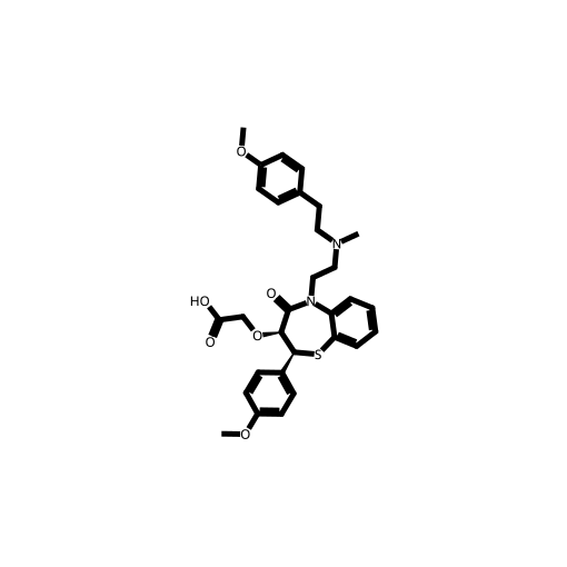 COc1ccc(CCN(C)CCN2C(=O)[C@H](OCC(=O)O)[C@H](c3ccc(OC)cc3)Sc3ccccc32)cc1